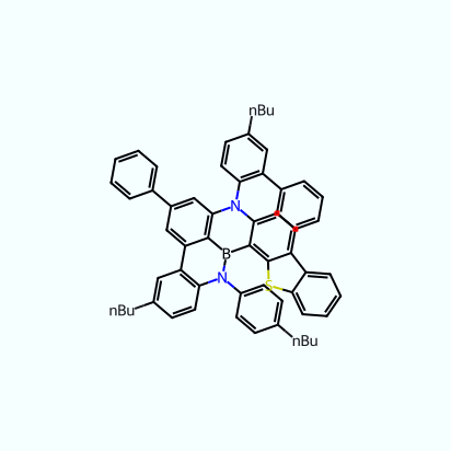 CCCCc1ccc(N2B3c4c(cc(-c5ccccc5)cc4N(c4ccc(CCCC)cc4-c4ccccc4)c4ccc5c(sc6ccccc65)c43)-c3cc(CCCC)ccc32)cc1